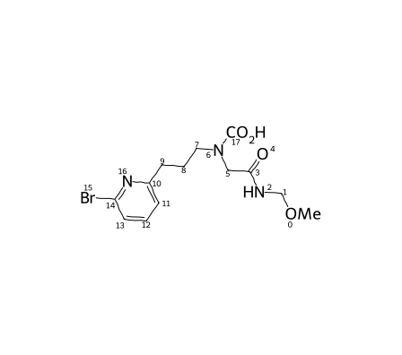 COCNC(=O)CN(CCCc1cccc(Br)n1)C(=O)O